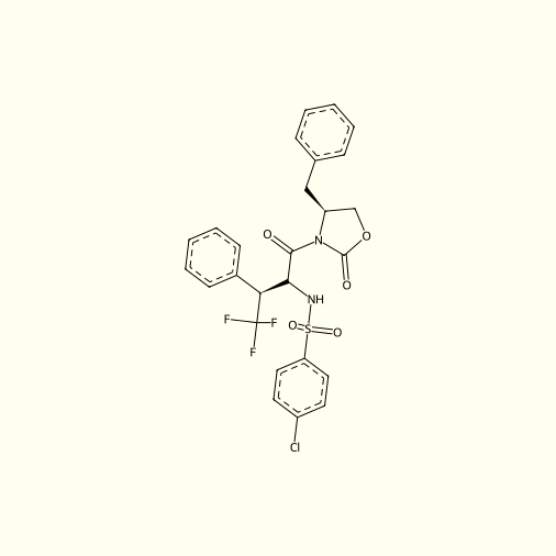 O=C1OC[C@H](Cc2ccccc2)N1C(=O)C(NS(=O)(=O)c1ccc(Cl)cc1)[C@H](c1ccccc1)C(F)(F)F